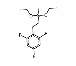 CCO[Si](C)(CCc1c(F)cc(F)cc1F)OCC